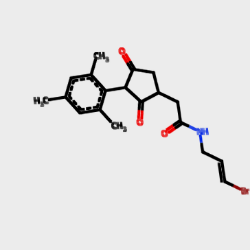 Cc1cc(C)c(C2C(=O)CC(CC(=O)NC/C=C/Br)C2=O)c(C)c1